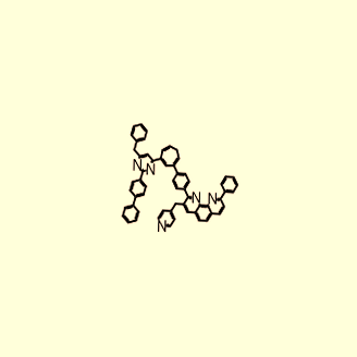 C1=CC(c2cc(Cc3ccccc3)nc(-c3ccc(-c4ccccc4)cc3)n2)=CC(c2ccc(-c3nc4c(ccc5ccc(-c6ccccc6)nc54)cc3Cc3ccncc3)cc2)=CC1